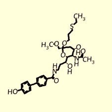 CCSCCCO[C@]1(COC)C[C@H](O)[C@@H](NC(C)=O)[C@H]([C@H](O)CCNC(=O)c2ccc(-c3ccc(O)cc3)cc2)O1